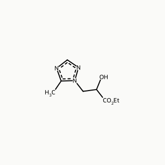 CCOC(=O)C(O)Cn1ncnc1C